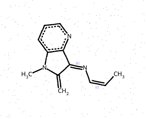 C=C1/C(=N\C=C/C)c2ncccc2N1C